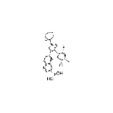 OB(O)c1cnc2ccc(-c3cn(C4CCCCO4)nc3-c3cc(Cl)c(F)cc3F)nc2c1